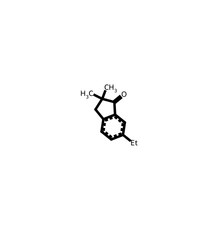 CCc1ccc2c(c1)C(=O)C(C)(C)C2